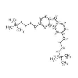 C[N+](C)(C)CCCOc1ccc2oc3ccc(OCCC[N+](C)(C)C)cc3c2c1